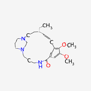 CC[C@@H]1/C=C\Cc2cc(cc(OC)c2OC)C(=O)NCCCN2CCCN(CC1)CC2